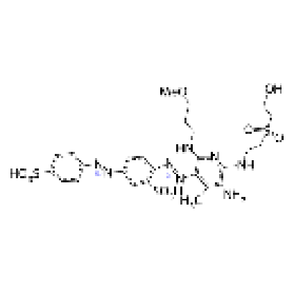 COCCCNc1nc(NCCS(=O)(=O)CCO)c(N)c(C)c1/N=N/c1ccc(/N=N/c2ccc(S(=O)(=O)O)cc2)cc1S(=O)(=O)O